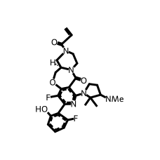 C=CC(=O)N1CCN2C(=O)c3c(N4CCC(NC)C4(C)C)nc(-c4c(O)cccc4F)c(F)c3OC[C@H]2C1